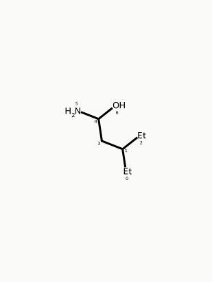 CCC(CC)CC(N)O